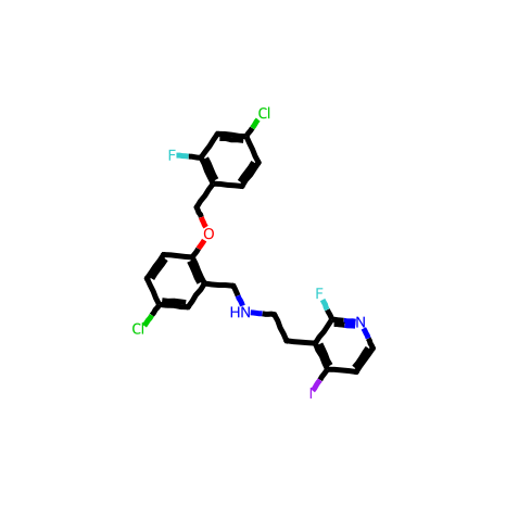 Fc1cc(Cl)ccc1COc1ccc(Cl)cc1CNCCc1c(I)ccnc1F